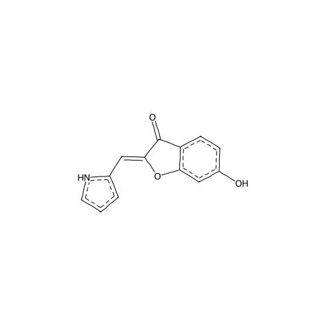 O=C1/C(=C/c2ccc[nH]2)Oc2cc(O)ccc21